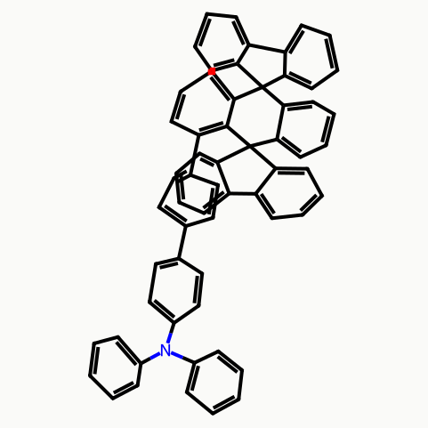 c1ccc(N(c2ccccc2)c2ccc(-c3ccc(-c4cccc5c4C4(c6ccccc6-c6ccccc64)c4ccccc4C54c5ccccc5-c5ccccc54)cc3)cc2)cc1